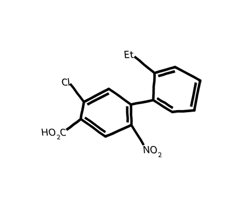 CCc1ccccc1-c1cc(Cl)c(C(=O)O)cc1[N+](=O)[O-]